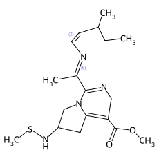 CCC(C)/C=C\N=C(/C)C1=NCC(C(=O)OC)=C2CC(NSC)CN12